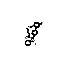 CCCCC(=O)N(Cc1ccc(-c2cc(F)ccc2C#N)cc1)C1(C(=O)O)CCCCC1